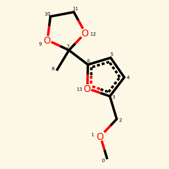 COCc1ccc(C2(C)OCCO2)o1